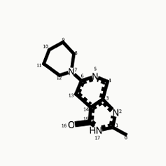 Cc1nc2cnc(N3CCCCC3)cc2c(=O)[nH]1